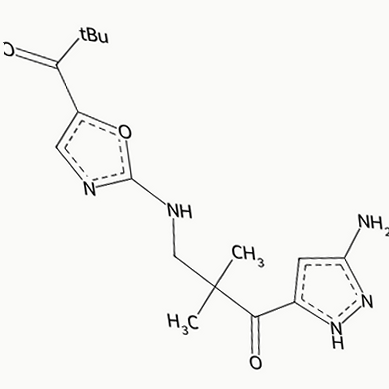 CC(C)(C)C(=O)c1cnc(NCC(C)(C)C(=O)c2cc(N)n[nH]2)o1